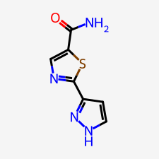 NC(=O)c1cnc(-c2cc[nH]n2)s1